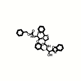 CC(C)[C@H](NC(=O)OCc1ccccc1)C(=O)N1C(c2ccccc2)SC[C@H]1C(=O)N[C@@H](Cc1ccccc1)C(O)c1nc2ccccc2o1